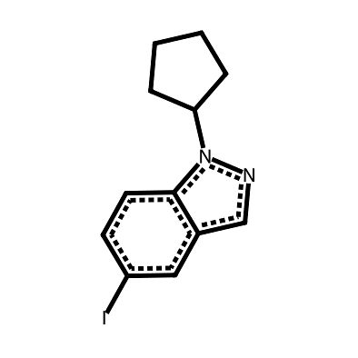 Ic1ccc2c(cnn2C2CCCC2)c1